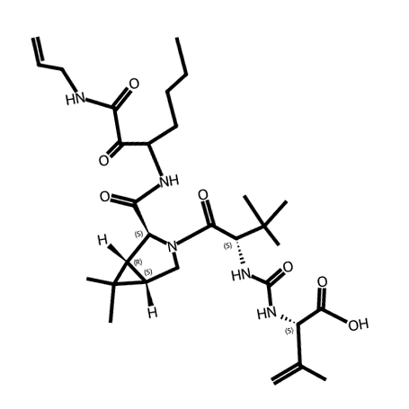 C=CCNC(=O)C(=O)C(CCCC)NC(=O)[C@@H]1[C@@H]2[C@H](CN1C(=O)[C@@H](NC(=O)N[C@@H](C(=C)C)C(=O)O)C(C)(C)C)C2(C)C